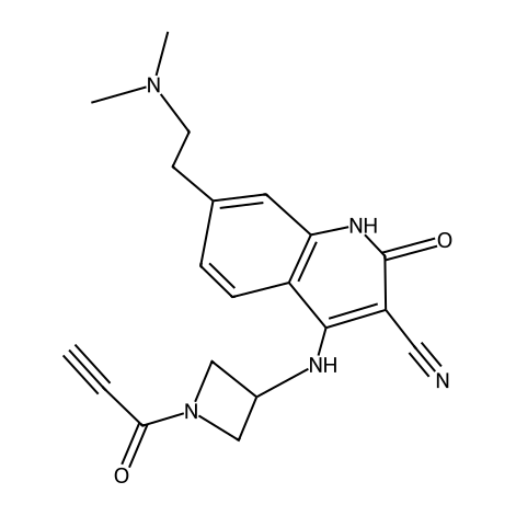 C#CC(=O)N1CC(Nc2c(C#N)c(=O)[nH]c3cc(CCN(C)C)ccc23)C1